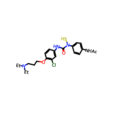 CCN(CC)CCCOc1ccc(NC(=O)N(S)c2ccc(NC(C)=O)cc2)cc1Cl